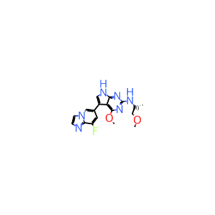 COC[C@@H](C)Nc1nc(OC)c2c(-c3cc(F)c4nccn4c3)c[nH]c2n1